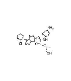 C[C@H](CO)OC[C@H](Oc1ncnc2c1cnn2-c1ccccc1Cl)C(=O)Nc1ccc(N)cn1